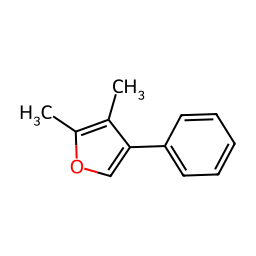 Cc1occ(-c2ccccc2)c1C